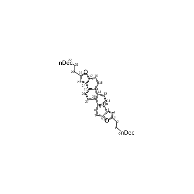 CCCCCCCCCCCCc1cc2c(ccc3c2ccc2c4ccc5oc(CCCCCCCCCCCC)cc5c4ccc32)o1